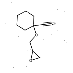 C#CC1(OCC2CO2)CCCCC1